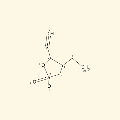 C#CC1OS(=O)(=O)CC1CC